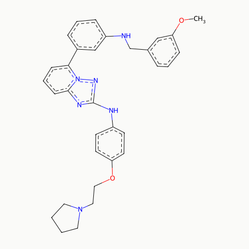 COc1cccc(CNc2cccc(-c3cccc4nc(Nc5ccc(OCCN6CCCC6)cc5)nn34)c2)c1